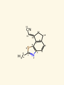 Cc1nc2ccc3c(c2s1)C(=CC#N)CC3